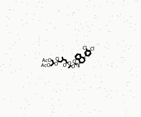 CC(=O)OCC(COC(C)=O)OC(=O)CC(C)CC(=O)OC(C)OC(=O)N(C)[C@H]1CC[C@@H](c2ccc(Cl)c(Cl)c2)c2ccccc21